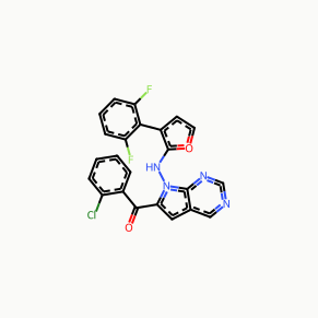 O=C(c1ccccc1Cl)c1cc2cncnc2n1Nc1occc1-c1c(F)cccc1F